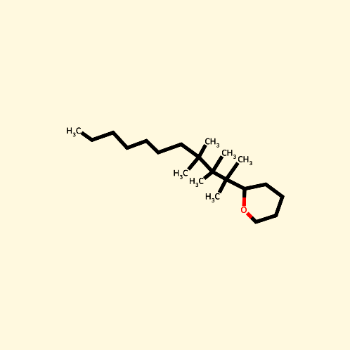 CCCCCCCC(C)(C)C(C)(C)C(C)(C)C1CCCCO1